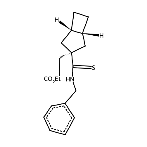 CCOC(=O)C[C@@]1(C(=S)NCc2ccccc2)C[C@H]2CC[C@H]2C1